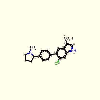 CN1CCCC1c1ccc(-c2cc3c(C(=O)O)c[nH]c3cc2Cl)cc1